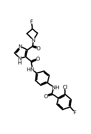 O=C(Nc1ccc(NC(=O)c2[nH]cnc2C(=O)N2CC(F)C2)cc1)c1ccc(F)cc1Cl